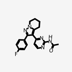 CC(=O)Nc1nccc(-c2c(-c3ccc(F)cc3)nn3c2CCCC3)n1